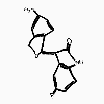 Nc1ccc2c(c1)COC2=C1C(=O)Nc2ccc(F)cc21